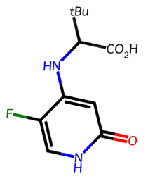 CC(C)(C)C(Nc1cc(=O)[nH]cc1F)C(=O)O